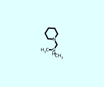 C[SiH](C)CN1CCCCC1